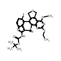 CCSc1nc(OC)c2c3c(c(-c4c(F)ccc5sc(NC(=O)OC(C)(C)C)c(C#N)c45)c(F)c2n1)COC3